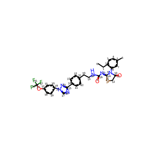 CCc1ccc(C)cc1N1C(=O)CS/C1=N\C(=O)NCCc1ccc(-c2ncn(-c3ccc(OC(F)(F)F)cc3)n2)cc1